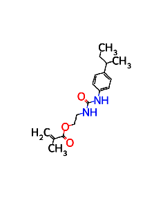 C=C(C)C(=O)OCCNC(=O)Nc1ccc(C(C)CC)cc1